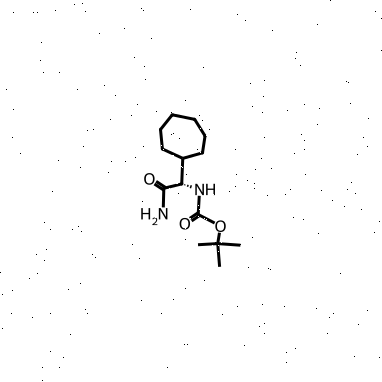 CC(C)(C)OC(=O)N[C@H](C(N)=O)C1CCCCCC1